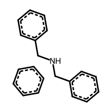 c1ccc(CNCc2ccccc2)cc1.c1ccccc1